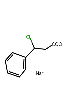 O=C([O-])CC(Cl)c1ccccc1.[Na+]